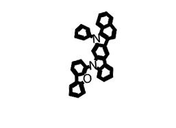 c1ccc(-n2c3cc4c(cc3c3ccc5ccccc5c32)c2ccccc2n4-c2cccc3c2oc2ccccc23)cc1